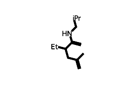 C=C(C)CC(CC)C(=C)NCC(C)C